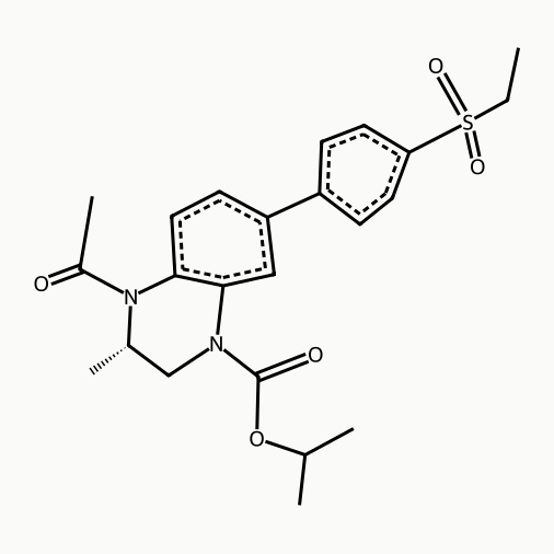 CCS(=O)(=O)c1ccc(-c2ccc3c(c2)N(C(=O)OC(C)C)C[C@H](C)N3C(C)=O)cc1